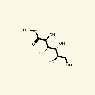 COC(=O)[C@@H](O)[C@@H](O)[C@H](O)[C@H](O)CO